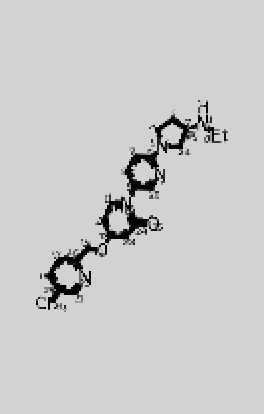 CCN[C@@H]1CCN(c2ccc(-n3ccc(OCc4ccc(Cl)cn4)cc3=O)cn2)C1